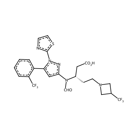 O=CN(c1cc(-c2ccccc2C(F)(F)F)n(-c2nccs2)n1)[C@@H](CCN1CC(C(F)(F)F)C1)CC(=O)O